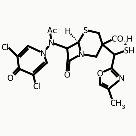 CC(=O)N(C1C(=O)N2CC(C(=O)O)(C(S)c3nc(C)co3)CS[C@H]12)n1cc(Cl)c(=O)c(Cl)c1